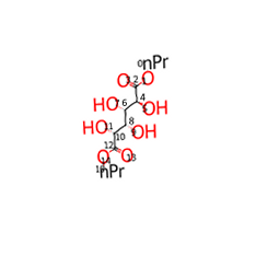 CCCOC(=O)[C@@H](O)[C@@H](O)[C@H](O)[C@@H](O)C(=O)OCCC